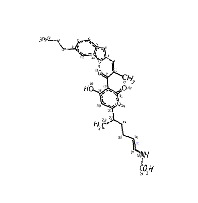 CC(=Cc1cc2ccc(CCC(C)C)cc2o1)C(=O)c1c(O)cc(C(C)CC/C=C/NC(=O)O)oc1=O